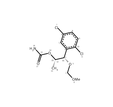 COCO[C@@H](c1cc(Cl)ccc1Cl)[C@H](C)OC(N)=O